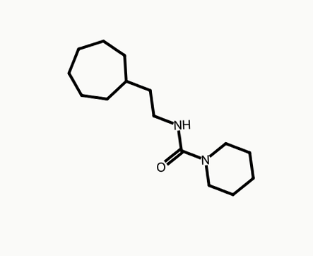 O=C(NCCC1CCCCCC1)N1CCCCC1